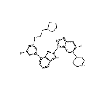 Fc1cc(OCCN2CCCC2)cc(-c2ccnc3[nH]c(-c4n[nH]c5cc(I)c(C6CCNCC6)cc45)cc23)c1